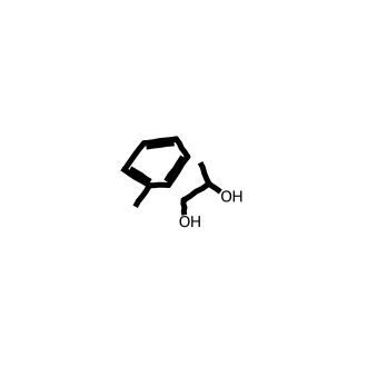 CC(O)CO.Cc1ccccc1